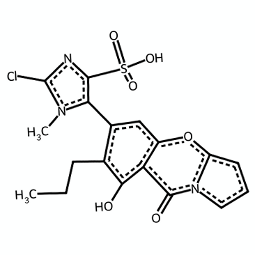 CCCc1c(-c2c(S(=O)(=O)O)nc(Cl)n2C)cc2oc3cccn3c(=O)c2c1O